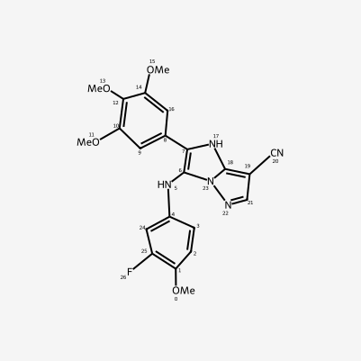 COc1ccc(Nc2c(-c3cc(OC)c(OC)c(OC)c3)[nH]c3c(C#N)cnn23)cc1F